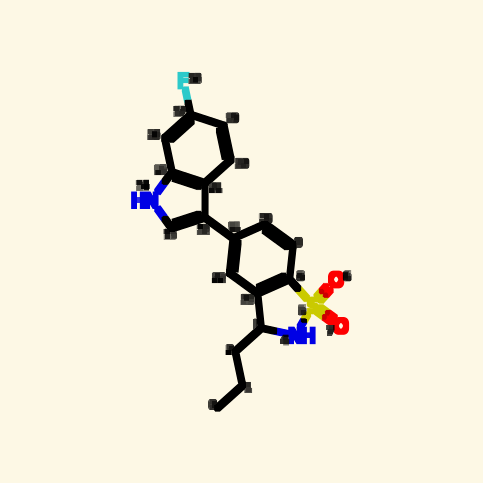 CCCC1NS(=O)(=O)c2ccc(-c3c[nH]c4cc(F)ccc34)cc21